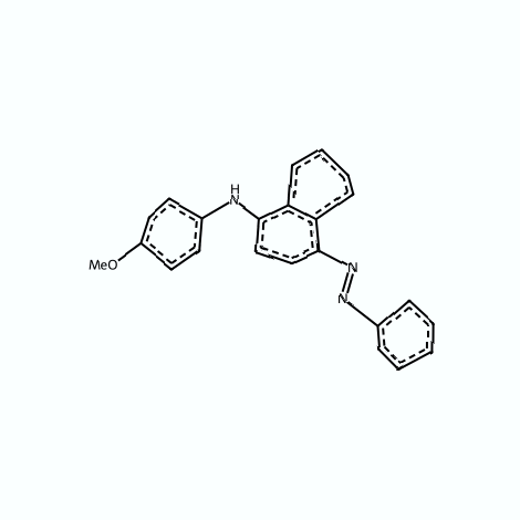 COc1ccc(Nc2ccc(N=Nc3ccccc3)c3ccccc23)cc1